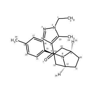 CCn1ncc(C(=O)N2[C@@H]3CC[C@H]2C[C@@H](c2ccc(C)cc2)C3)c1C